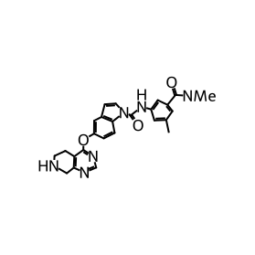 CNC(=O)c1cc(C)cc(NC(=O)n2ccc3cc(Oc4ncnc5c4CCNC5)ccc32)c1